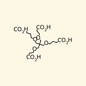 O=C(O)CCCOCC(COCCCC(=O)O)(COCCC(=O)O)COCCC(=O)O